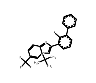 CC(C)(C)[N+]12C=C(c3cccc(-c4ccccc4)c3F)N=C1C=CC(C(F)(F)F)=C2